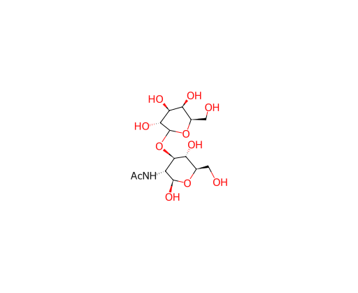 CC(=O)N[C@@H]1[C@@H](OC2O[C@H](CO)[C@H](O)[C@H](O)[C@H]2O)[C@H](O)[C@@H](CO)O[C@H]1O